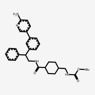 CC(C)(C)OC(=O)NCC1CCC(C(=O)NCC(c2ccccc2)c2cccc(-c3ccc(N)nc3)c2)CC1